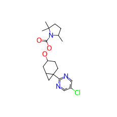 CC1CCC(C)(C)N1C(=O)OOC1CCC2(c3ncc(Cl)cn3)CC2C1